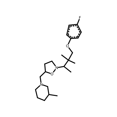 CC1CCCN(CC2CCN(C(C)C(C)(C)COc3ccc(F)cc3)O2)C1